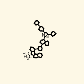 CC1(C)c2cccc(-c3cccc(-c4ccc(-c5nc(-c6ccccc6)cc(-c6ccc(-c7ccccc7)cc6)n5)c5ccccc45)c3)c2-c2c1ccc1ccccc21